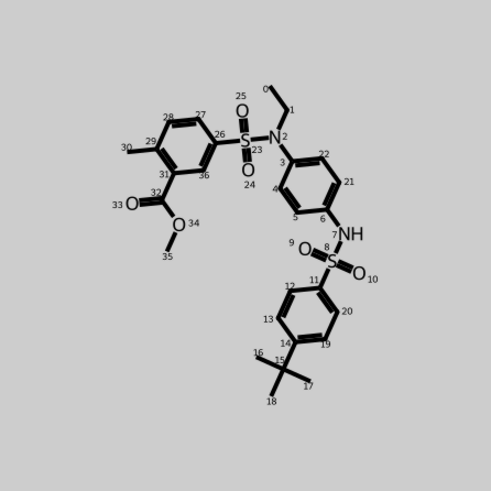 CCN(c1ccc(NS(=O)(=O)c2ccc(C(C)(C)C)cc2)cc1)S(=O)(=O)c1ccc(C)c(C(=O)OC)c1